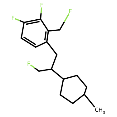 CC1CCC(C(CF)Cc2ccc(F)c(F)c2CF)CC1